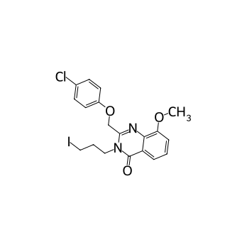 COc1cccc2c(=O)n(CCCI)c(COc3ccc(Cl)cc3)nc12